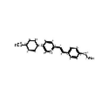 CCCCOc1ccc(C=Cc2ccc([C@H]3CC[C@H](CCCC)CC3)cn2)cc1